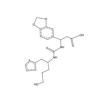 O=C(O)CC(NC(=O)NC(CCCO)Cc1cccs1)c1ccc2c(c1)OCO2